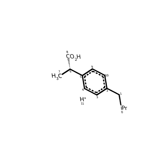 CC(C)Cc1ccc([C@H](C)C(=O)O)cc1.[H+]